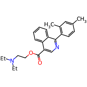 CCN(CC)CCOC(=O)c1cnc(-c2ccc(C)cc2C)c2ccccc12